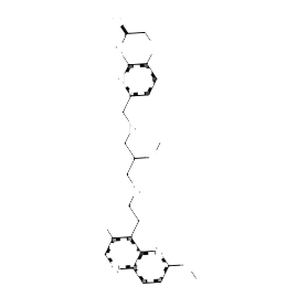 COc1ccc2ncc(F)c(CCNCC(CNCc3ccc4c(n3)NC(=O)CO4)OC)c2n1